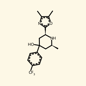 Cc1nc([C@@H]2CC(O)(c3ccc(C(F)(F)F)cc3)C[C@H](C)N2)oc1C